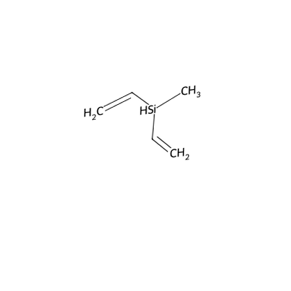 C=C[SiH](C)C=C